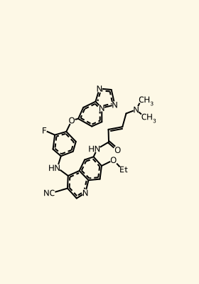 CCOc1cc2ncc(C#N)c(Nc3ccc(Oc4ccn5ncnc5c4)c(F)c3)c2cc1NC(=O)/C=C/CN(C)C